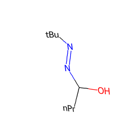 CCCC(O)/N=N/C(C)(C)C